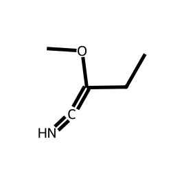 CCC(=C=N)OC